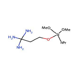 CCC[Si](OC)(OC)OCCC(N)(N)N